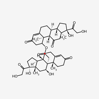 C[C@]12CCC(=O)C=C1CC[C@H]1[C@@H]3CC[C@](O)(C(=O)CO)[C@@]3(C)C[C@H](O)[C@@]12CC(=O)OC1CC(=O)C=C2CC[C@H]3[C@@H]4CC[C@](O)(C(=O)CO)[C@@]4(C)CC(=O)[C@@H]3[C@]21C